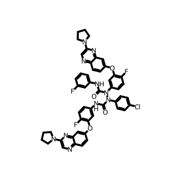 O=C(Nc1ccc(F)c(Oc2ccc3ncc(N4CCCC4)nc3c2)c1)N(c1ccc(Cl)cc1)N(C(=O)Nc1cccc(F)c1)c1ccc(F)c(Oc2ccc3ncc(N4CCCC4)nc3c2)c1